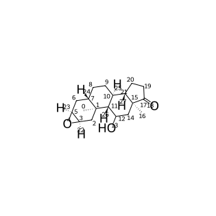 C[C@]12C[C@H]3O[C@H]3C[C@@H]1CC[C@@H]1[C@@H]2C(O)C[C@]2(C)C(=O)CC[C@@H]12